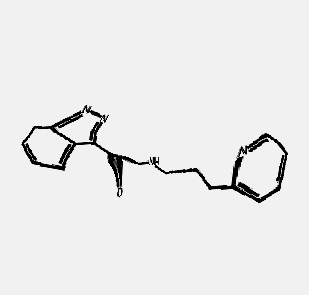 O=C(NCCCc1ccccn1)C1=NN=C2CC=CC=C21